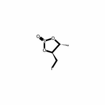 C[C@H]1OS(=O)O[C@@H]1CI